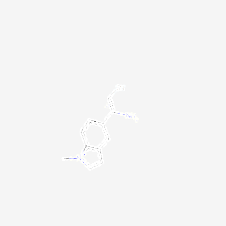 Cn1ccc2cc(/C(N)=C/S)ccc21